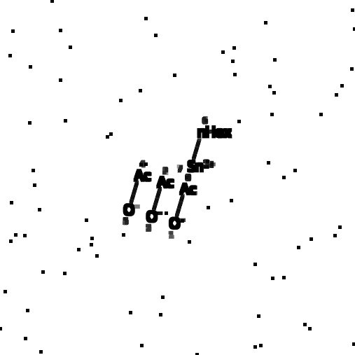 CC(=O)[O-].CC(=O)[O-].CC(=O)[O-].CCCCC[CH2][Sn+3]